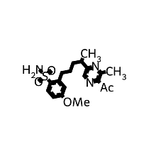 COc1ccc(S(N)(=O)=O)c(CCCC(C)c2cnc(C(C)=O)c(C)n2)c1